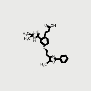 Cc1oc(-c2ccccc2)nc1CCOc1ccc(CCC(=O)O)c(C(=O)NC(C)(C)C)c1